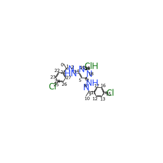 CC(=NNc1cc(NN=C(C)c2ccc(Cl)cc2)ncn1)c1ccc(Cl)cc1.Cl